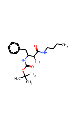 CCCCNC(=O)C(O)C(Cc1ccccc1)NC(=O)OC(C)(C)C